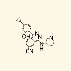 CN1CCCC(Nc2nnc(-c3ccc(C4CC4)cc3O)c3ccc(C#N)cc23)C1